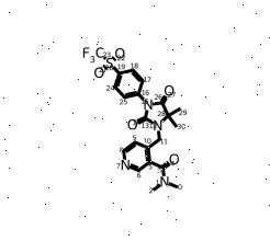 CN(C)C(=O)c1cnccc1CN1C(=O)N(c2ccc(S(=O)(=O)C(F)(F)F)cc2)C(=O)C1(C)C